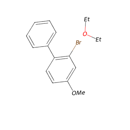 CCOCC.COc1ccc(-c2ccccc2)c(Br)c1